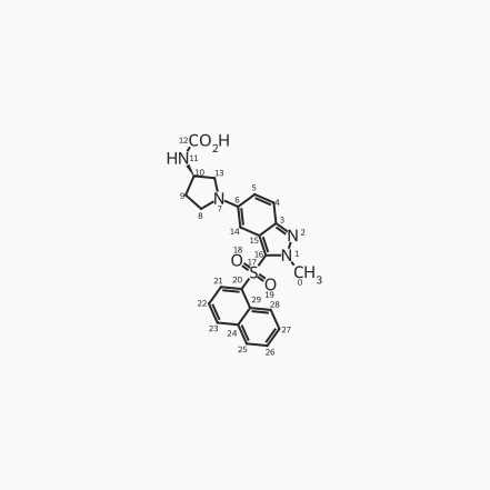 Cn1nc2ccc(N3CC[C@@H](NC(=O)O)C3)cc2c1S(=O)(=O)c1cccc2ccccc12